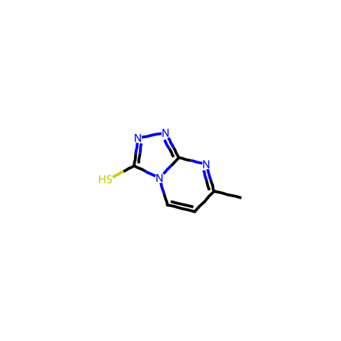 Cc1ccn2c(S)nnc2n1